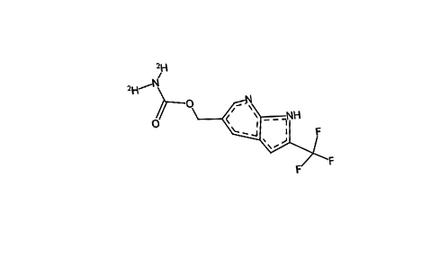 [2H]N([2H])C(=O)OCc1cnc2[nH]c(C(F)(F)F)cc2c1